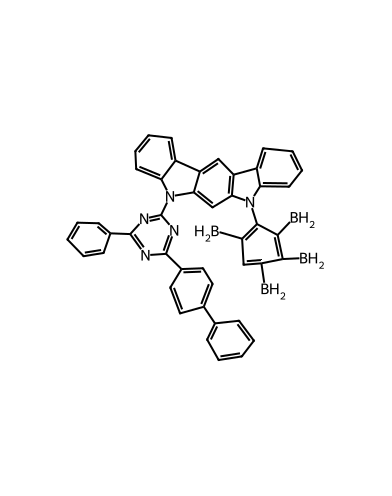 Bc1cc(B)c(-n2c3ccccc3c3cc4c5ccccc5n(-c5nc(-c6ccccc6)nc(-c6ccc(-c7ccccc7)cc6)n5)c4cc32)c(B)c1B